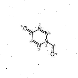 O=Cn1ncc(=O)nn1